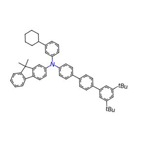 CC(C)(C)c1cc(-c2ccc(-c3ccc(N(c4cccc(C5CCCCC5)c4)c4ccc5c(c4)C(C)(C)c4ccccc4-5)cc3)cc2)cc(C(C)(C)C)c1